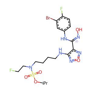 CC(C)OS(=O)(=O)N(CCF)CCCCNc1nonc1/C(=N/O)Nc1ccc(F)c(Br)c1